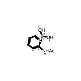 CC(=O)Nc1ccccn1.OBO